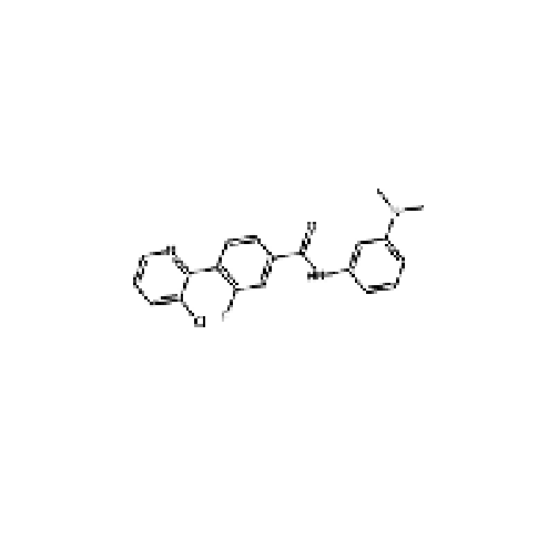 CN(C)c1cccc(NC(=O)c2ccc(-c3ncccc3Cl)c(F)c2)c1